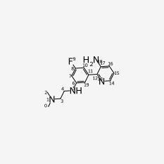 CN(C)CCNc1cc(F)cc(-c2ncccc2N)c1